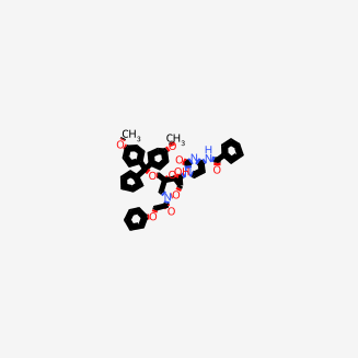 COc1ccc(C(OCC23CN(C(=O)COc4ccccc4)OC(C(n4ccc(NC(=O)c5ccccc5)nc4=O)O2)C3O)(c2ccccc2)c2ccc(OC)cc2)cc1